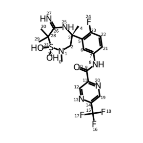 CN1C[C@@](C)(c2cc(NC(=O)c3cnc(C(F)(F)F)cn3)ccc2F)NC(=N)C(C)(C)S1(O)O